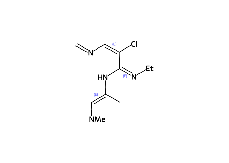 C=N/C=C(Cl)\C(=N/CC)N/C(C)=C/NC